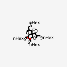 C=C(CSCCCCCC)C(=O)C(C(=O)C(=C)CSCCCCCC)(C(=O)C(=C)CSCCCCCC)C(=O)C(=C)CSCCCCCC